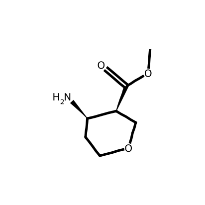 COC(=O)[C@H]1COCC[C@H]1N